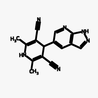 CC1=C(C#N)C(c2cnc3[nH]ncc3c2)C(C#N)=C(C)N1